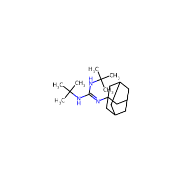 CC(C)(C)NC(=NC12CC3CC(CC(C3)C1)C2)NC(C)(C)C